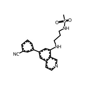 CS(=O)(=O)NCCCNc1cc(-c2cccc(C#N)c2)cc2ccncc12